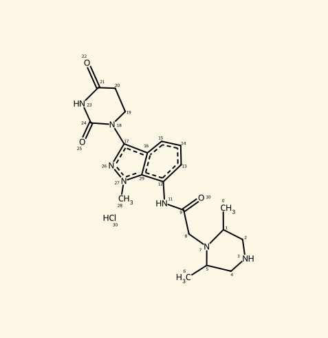 CC1CNCC(C)N1CC(=O)Nc1cccc2c(N3CCC(=O)NC3=O)nn(C)c12.Cl